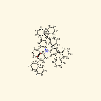 c1ccc(-c2cc3c(cc2N(c2ccc(-c4cccc5ccccc45)cc2)c2ccc4c5ccccc5c5ccccc5c4c2)C2(c4ccccc4-c4ccccc42)c2ccccc2-3)cc1